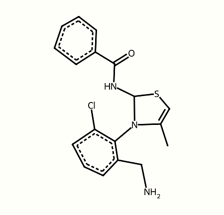 CC1=CSC(NC(=O)c2ccccc2)N1c1c(Cl)cccc1CN